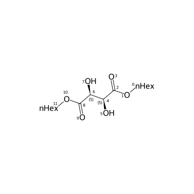 CCCCCCOC(=O)[C@@H](O)[C@H](O)C(=O)OCCCCCC